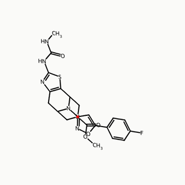 CNC(=O)Nc1nc2c(s1)C1CN(C(=O)OC)CC(C2)N1c1cc(-c2ccc(F)cc2)on1